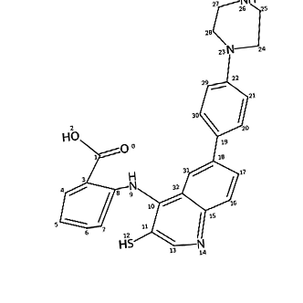 O=C(O)c1ccccc1Nc1c(S)cnc2ccc(-c3ccc(N4CCNCC4)cc3)cc12